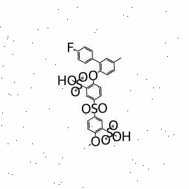 COc1ccc(S(=O)(=O)c2ccc(Oc3ccc(C)cc3-c3ccc(F)cc3)c(S(=O)(=O)O)c2)cc1S(=O)(=O)O